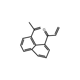 C=CC(=O)c1cccc2cccc(C(=C)C)c12